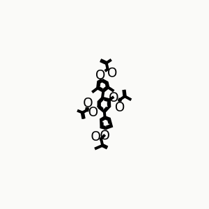 C=C(C)C(=O)Oc1ccc(-c2cc(OC(=O)C(=C)C)c(-c3c(C)cc(OC(=O)C(=C)C)cc3C)cc2OC(=O)C(=C)C)cc1